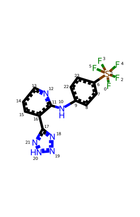 FS(F)(F)(F)(F)c1ccc(Nc2ncccc2-c2nn[nH]n2)cc1